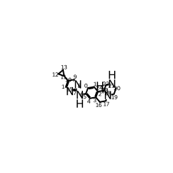 c1cc2c(cc1Nc1ncc(C3CC3)cn1)CCN1CCNC[C@@H]21